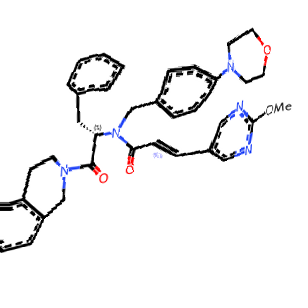 COc1ncc(/C=C/C(=O)N(Cc2ccc(N3CCOCC3)cc2)[C@@H](Cc2ccccc2)C(=O)N2CCc3ccccc3C2)cn1